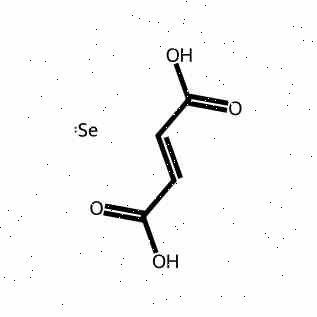 O=C(O)C=CC(=O)O.[Se]